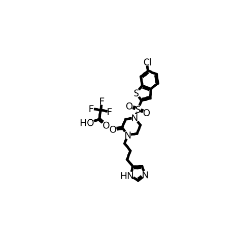 O=C(O)C(F)(F)F.O=C1CN(S(=O)(=O)c2cc3ccc(Cl)cc3s2)CCN1CCCc1cnc[nH]1